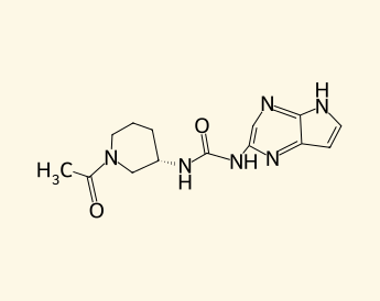 CC(=O)N1CCC[C@H](NC(=O)Nc2cnc3[nH]ccc3n2)C1